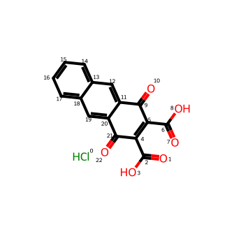 Cl.O=C(O)C1=C(C(=O)O)C(=O)c2cc3ccccc3cc2C1=O